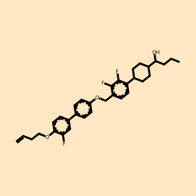 C=CCCOc1ccc(-c2ccc(OCc3ccc(C4CCC(C(O)CCC)CC4)c(F)c3F)cc2)cc1F